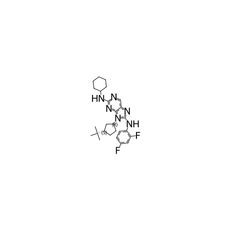 CC(C)(C)[C@H]1CC[C@@H](n2c(Nc3ccc(F)cc3F)nc3cnc(NC4CCCCC4)nc32)C1